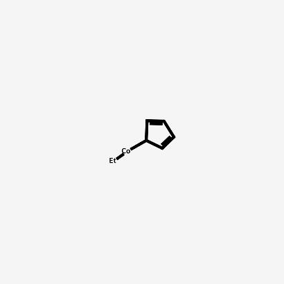 C[CH2][Co][CH]1C=CC=C1